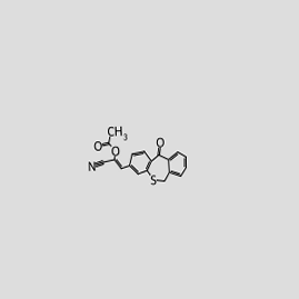 CC(=O)OC(C#N)=Cc1ccc2c(c1)SCc1ccccc1C2=O